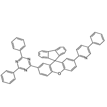 c1ccc(-c2ccc(-c3ccc4c(c3)C3(c5cc(-c6nc(-c7ccccc7)nc(-c7ccccc7)n6)ccc5O4)c4ccccc4-c4ccccc43)nc2)cc1